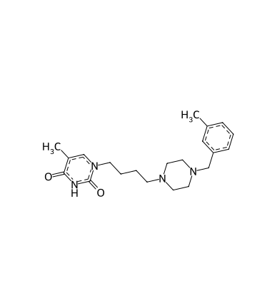 Cc1cccc(CN2CCN(CCCCn3cc(C)c(=O)[nH]c3=O)CC2)c1